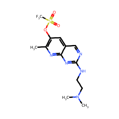 Cc1nc2nc(NCCN(C)C)ncc2cc1OS(=O)(=O)C(F)(F)F